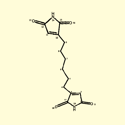 O=C1C=C(CCCCCCC2=CC(=O)NC2=O)C(=O)N1